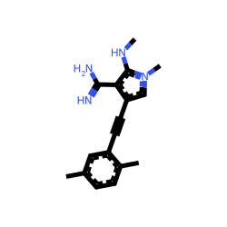 CNc1c(C(=N)N)c(C#Cc2cc(C)ccc2C)cn1C